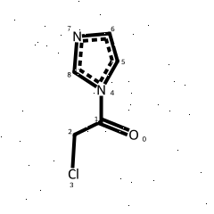 O=C(CCl)n1ccnc1